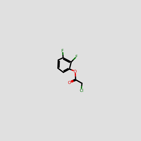 O=C(CCl)Oc1cccc(F)c1F